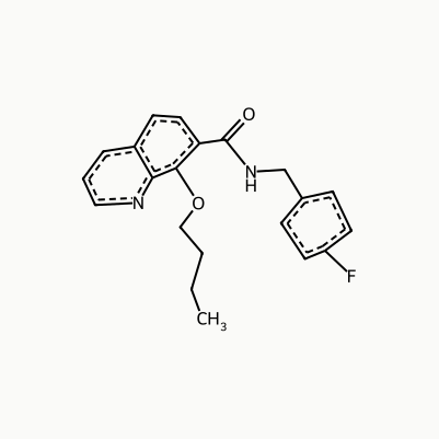 CCCCOc1c(C(=O)NCc2ccc(F)cc2)ccc2cccnc12